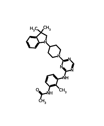 CC(=O)Nc1cccc(Nc2ncnc(N3CCC(N4CC(C)(C)c5ccccc54)CC3)n2)c1C